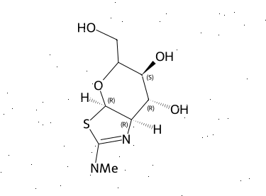 CNC1=N[C@@H]2[C@@H](O)[C@H](O)C(CO)O[C@@H]2S1